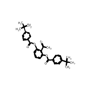 CC(=O)c1c(OC(=O)c2ccc(C(C)(C)C)cc2)cccc1OC(=O)c1ccc(C(C)(C)C)cc1